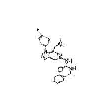 C[C@@H](NC(=O)Nc1cc2cnn(-c3ccc(F)cc3)c2c(CN(C)C)n1)c1ccccc1